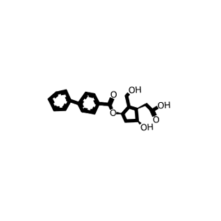 O=C(O)C[C@@H]1C(CO)[C@H](OC(=O)c2ccc(-c3ccccc3)cc2)C[C@@H]1O